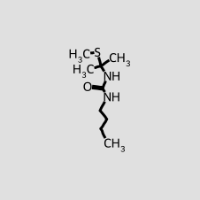 CCCCNC(=O)NC(C)(C)SC